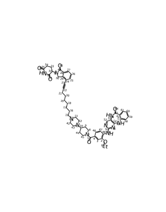 CCOc1cc(C(=O)N2CCC(N3CCN(CCCCCCCC#Cc4cccc5c4CN(C4CCC(=O)NC4=O)C5=O)CC3)CC2)ccc1Nc1ncc2c(n1)Nc1ccccc1C(=O)N2